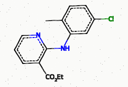 CCOC(=O)c1cccnc1Nc1cc(Cl)ccc1C